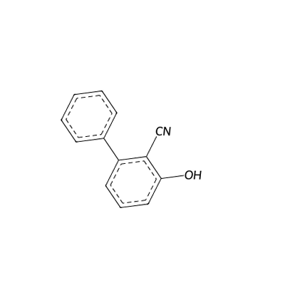 N#Cc1c(O)cccc1-c1ccccc1